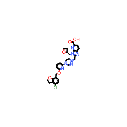 O=C(O)c1ccc2nc(CN3CCN(c4cccc(OCc5ccc(Cl)c6c5OCC6)n4)C=N3)n(C[C@@H]3CCO3)c2n1